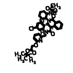 CC(C)(C)OC(=O)COc1cccc(CNC(=O)[C@@H]2c3ccccc3C(=O)N([C@H]3CCCC[C@@H]3NS(C)(=O)=O)[C@H]2c2ccc(Cl)cc2Cl)n1